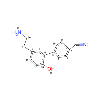 N#Cc1ccc(-c2cc(CCN)ccc2O)cc1